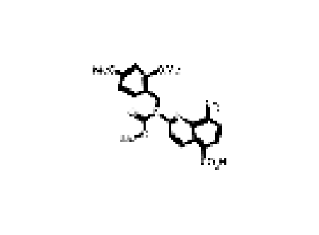 COc1ccc(CN(C(=O)OC(C)(C)C)c2ccc3c(C(=O)O)ccc(C(F)(F)F)c3n2)c(OC)c1